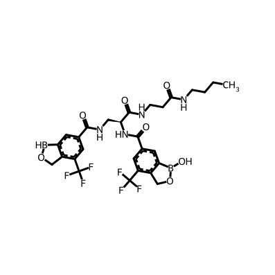 CCCCNC(=O)CCNC(=O)[C@H](CNC(=O)c1cc2c(c(C(F)(F)F)c1)COB2)NC(=O)c1cc2c(c(C(F)(F)F)c1)COB2O